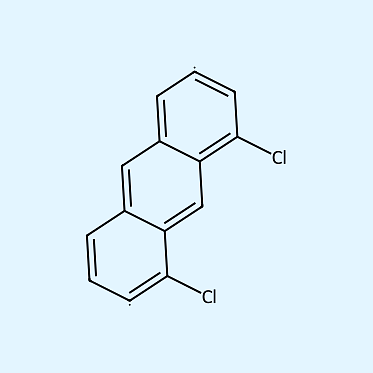 Clc1[c]ccc2cc3c[c]cc(Cl)c3cc12